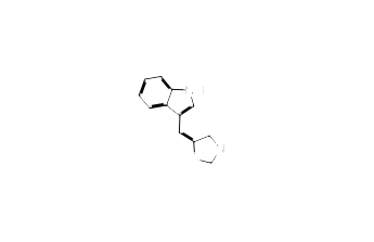 C(=C1CNCS1)c1c[nH]c2ccccc12